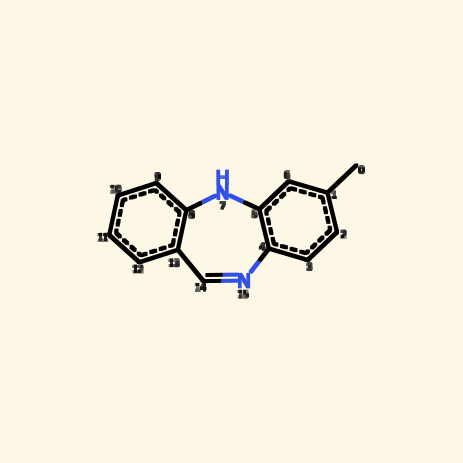 Cc1ccc2c(c1)Nc1ccccc1C=N2